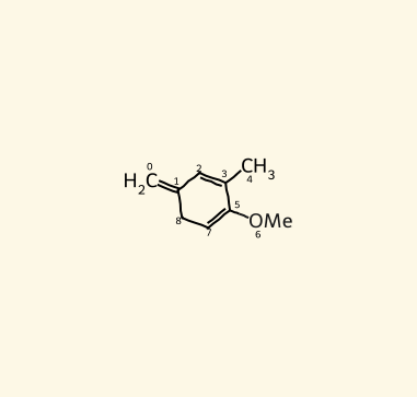 C=C1C=C(C)C(OC)=CC1